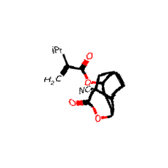 C=C(C(=O)OC1C2CC3C1OC(=O)C3(C#N)C2)C(C)C